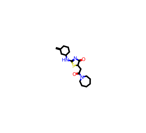 C=C1CCCC(NC2=NC(=O)C(CC(=O)N3CCCCCC3)S2)C1